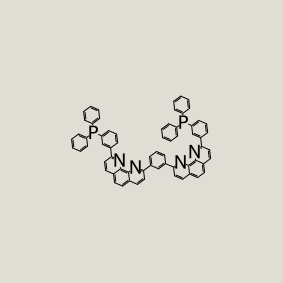 c1ccc(P(c2ccccc2)c2cccc(-c3ccc4ccc5ccc(-c6cccc(-c7ccc8ccc9ccc(-c%10cccc(P(c%11ccccc%11)c%11ccccc%11)c%10)nc9c8n7)c6)nc5c4n3)c2)cc1